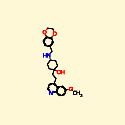 COc1ccc2nccc(CC[C@]3(O)CC[C@H](NCc4ccc5c(c4)OCCO5)CC3)c2c1